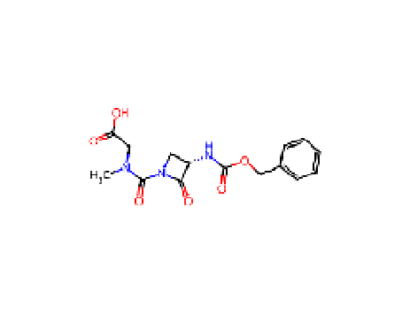 CN(CC(=O)O)C(=O)N1C[C@H](NC(=O)OCc2ccccc2)C1=O